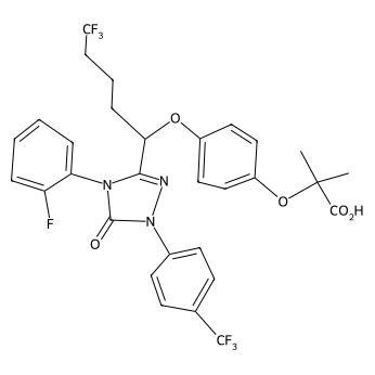 CC(C)(Oc1ccc(OC(CCCC(F)(F)F)c2nn(-c3ccc(C(F)(F)F)cc3)c(=O)n2-c2ccccc2F)cc1)C(=O)O